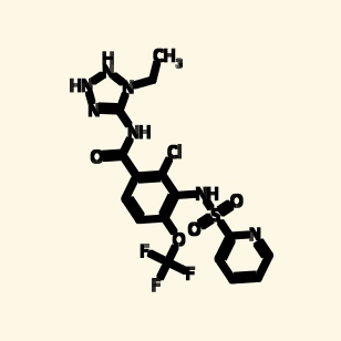 CCN1NNN=C1NC(=O)c1ccc(OC(F)(F)F)c(NS(=O)(=O)c2ccccn2)c1Cl